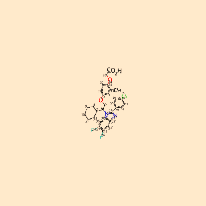 Cc1cc(OCC(C2CCCCC2)n2c(-c3ccc(Cl)cc3)nc3cc(F)c(F)cc32)ccc1OCC(=O)O